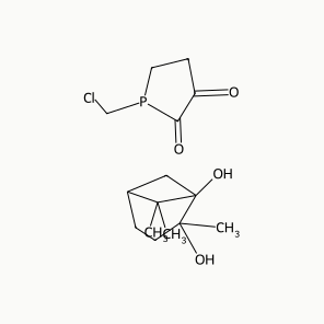 CC1(O)CCC2CC1(O)C2(C)C.O=C1CCP(CCl)C1=O